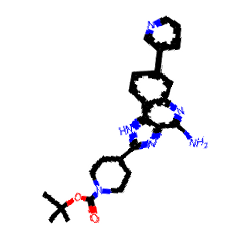 CC(C)(C)OC(=O)N1CCC(c2nc3c(N)nc4cc(-c5cccnc5)ccc4c3[nH]2)CC1